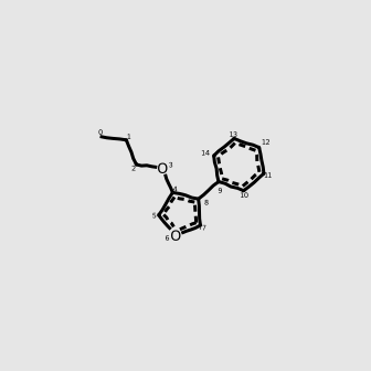 CCCOc1co[c]c1-c1ccccc1